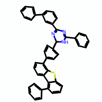 c1ccc(C2=NC(c3cccc(-c4ccccc4)c3)=NC(c3ccc(-c4cccc5c4sc4cccc(-c6ccccc6)c45)cc3)N2)cc1